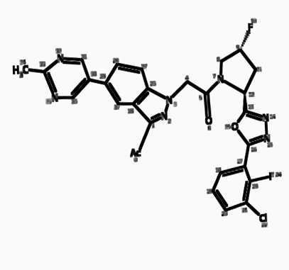 CC(=O)c1nn(CC(=O)N2C[C@H](F)C[C@H]2c2nnc(-c3cccc(Cl)c3F)o2)c2ccc(-c3cnc(C)nc3)cc12